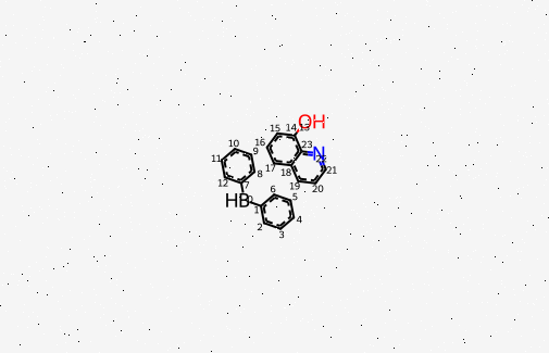 B(c1ccccc1)c1ccccc1.Oc1cccc2cccnc12